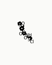 Cc1cc(N2C[C@H](NC(=O)c3ccc(Cl)s3)CC2=O)ccc1N1CCCC1=O